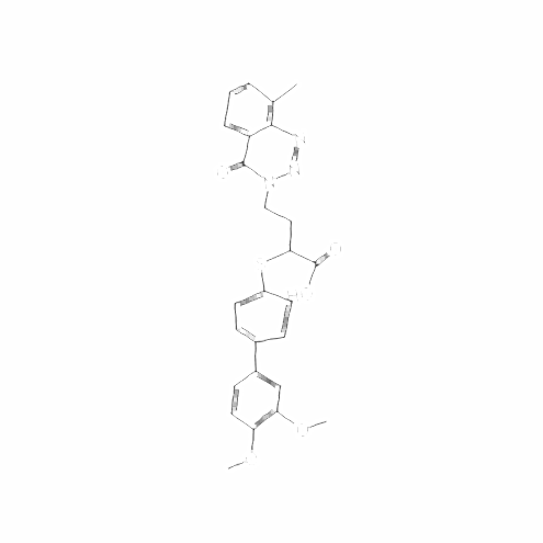 COc1ccc(-c2ccc(SC(CCn3nnc4c(C)cccc4c3=O)C(=O)O)cc2)cc1OC